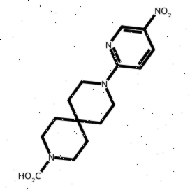 O=C(O)N1CCC2(CC1)CCN(c1ccc([N+](=O)[O-])cn1)CC2